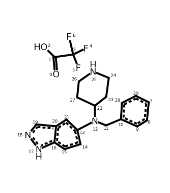 O=C(O)C(F)(F)F.c1ccc(CN(c2ccc3[nH]ncc3c2)C2CCNCC2)cc1